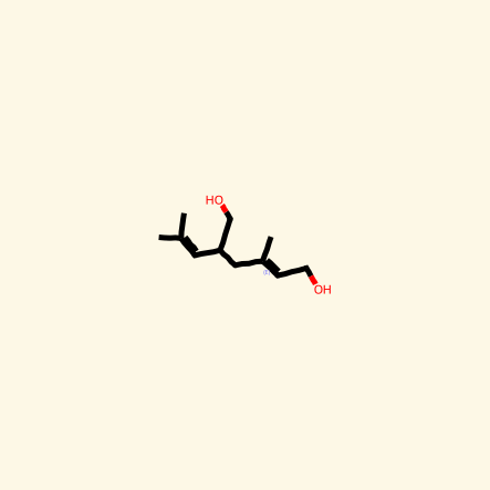 CC(C)=CC(CO)C/C(C)=C/CO